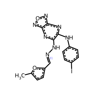 Cc1ccc(/C=N/Nc2nc3nonc3nc2Nc2ccc(I)cc2)o1